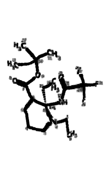 CCN1CCCC(C(=O)OC(C)(C)C)[C@@]1(CC)NC(=O)C(F)(F)F